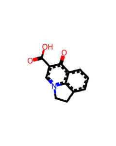 O=C(O)c1cn2c3c(cccc3c1=O)CC2